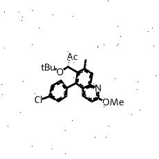 COc1ccc2c(-c3ccc(Cl)cc3)c([C@H](OC(C)(C)C)C(C)=O)c(C)cc2n1